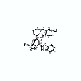 Clc1ccc(Cl)c(CN2CCCC(c3cc(NCc4cccnc4)n4ncc(Br)c4n3)C2)c1